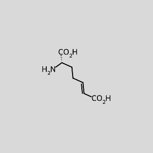 N[C@@H](CCC=CC(=O)O)C(=O)O